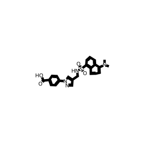 CN(C)c1cccc2c(S(=O)(=O)NCc3cnn(-c4ccc(C(=O)O)cc4)c3)cccc12